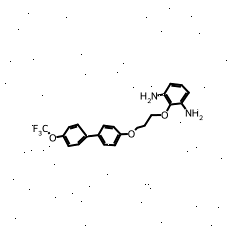 Nc1cccc(N)c1OCCCOc1ccc(-c2ccc(OC(F)(F)F)cc2)cc1